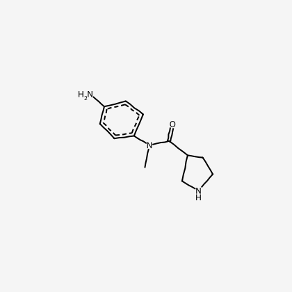 CN(C(=O)C1CCNC1)c1ccc(N)cc1